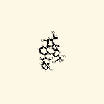 CC(C)(O)C1CCc2c([nH]c3c(C(N)=O)cc(Cl)c(-c4cccc(-n5c(=O)[nH]c6c(F)cccc6c5=O)c4Cl)c23)C1